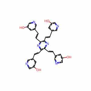 Oc1cncc(C=Cc2nc(C=Cc3cncc(O)c3)c(C=Cc3cncc(O)c3)nc2C=Cc2cncc(O)c2)c1